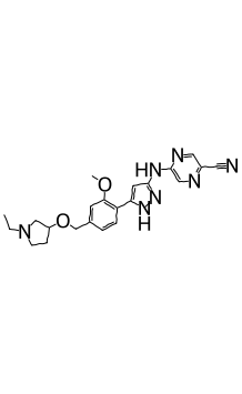 CCN1CCC(OCc2ccc(-c3cc(Nc4cnc(C#N)cn4)n[nH]3)c(OC)c2)C1